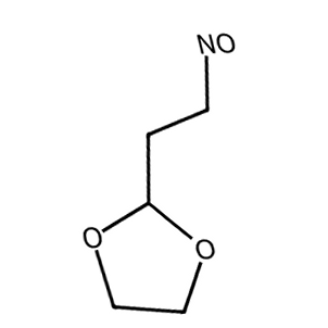 O=NCCC1OCCO1